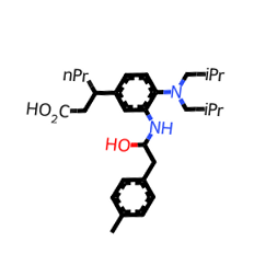 CCCC(CC(=O)O)c1ccc(N(CC(C)C)CC(C)C)c(NC(O)Cc2ccc(C)cc2)c1